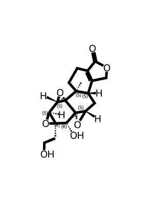 C[C@]12CCC3=C(COC3=O)[C@@H]1C[C@@H]1O[C@@]13[C@H](O)[C@@]1(CCO)O[C@H]1[C@@H]1O[C@@]132